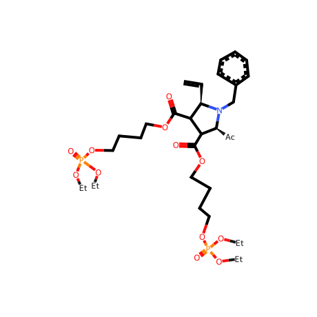 C=C[C@@H]1C(C(=O)OCCCCOP(=O)(OCC)OCC)C(C(=O)OCCCCOP(=O)(OCC)OCC)[C@H](C(C)=O)N1Cc1ccccc1